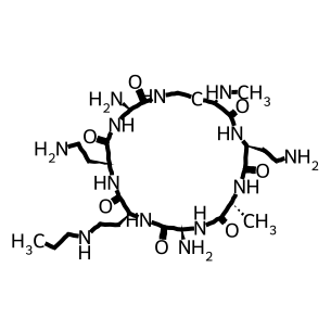 CCCNCC[C@@H]1NC(=O)[C@H](N)NC(=O)[C@@H](C)NC(=O)[C@H](CCN)NC(=O)[C@@H](NC)CCNC(=O)[C@H](N)NC(=O)[C@H](CCN)NC1=O